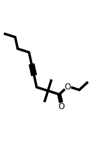 CCCCC#CCC(C)(C)C(=O)OCC